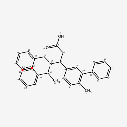 Cc1ccc(C(CC(=O)O)N(Cc2ccccc2)C(C)c2ccccc2)cc1-c1ccccc1